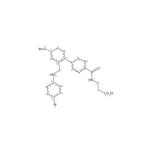 CCOC(=O)CCNC(=O)c1ccc(-c2ccc(OC)cc2CNc2ccc(Br)cc2)cn1